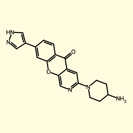 NC1CCN(c2cc3c(=O)c4ccc(-c5cn[nH]c5)cc4oc3cn2)CC1